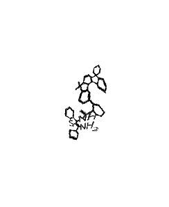 CC(NC1/C(=C(\N)C2=CC=CCC2)SC2C=CCCC21)C1CCCCC1C1=CC2=C(CC1)C(C)(C)C1C=CC3=C(C4C=CC=CC4C34CCCCC4)C21